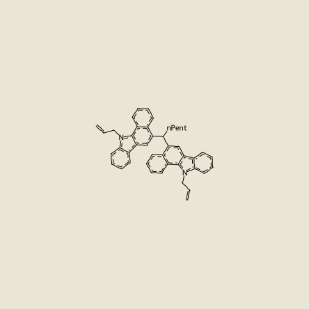 C=CCn1c2ccccc2c2cc(C(CCCCC)c3cc4c5ccccc5n(CC=C)c4c4ccccc34)c3ccccc3c21